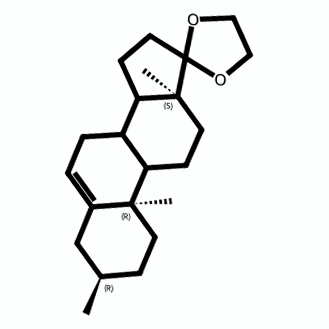 C[C@@H]1CC[C@@]2(C)C(=CCC3C2CC[C@@]2(C)C3CCC23OCCO3)C1